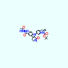 CC(=O)NNC(=O)c1ccc2c(c1)c1c(n2-c2ccc(CC3(NC(=O)OC(C)(C)C)CC3)cc2)C(=O)N(C)CC1